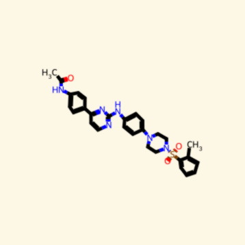 CC(=O)Nc1ccc(-c2ccnc(Nc3ccc(N4CCN(S(=O)(=O)c5ccccc5C)CC4)cc3)n2)cc1